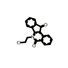 O=C1c2ccccc2-c2c1c1ccccc1c(=O)n2CCCl